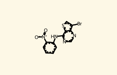 O=[N+]([O-])c1ccccc1Nc1ncnc2c(Br)csc12